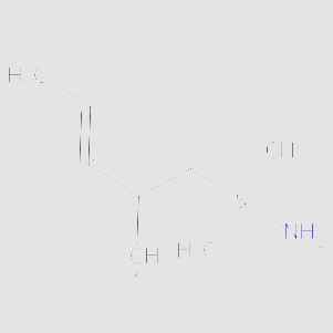 CC=CC(C)CS(C)(C)N